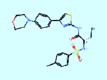 Cc1ccc(S(=O)(=O)N[C@@H](CC(C)C)C(=O)Nc2nc(-c3ccc(N4CCOCC4)cc3)cs2)cc1